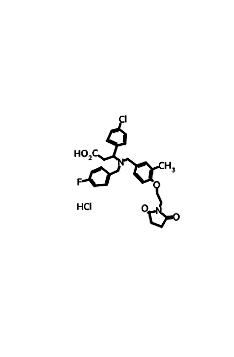 Cc1cc(CN(Cc2ccc(F)cc2)C(CC(=O)O)c2ccc(Cl)cc2)ccc1OCCN1C(=O)CCC1=O.Cl